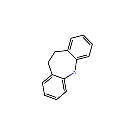 c1ccc2c(c1)CCc1ccccc1[N]2